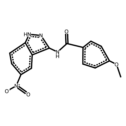 COc1ccc(C(=O)Nc2n[nH]c3ccc([N+](=O)[O-])cc23)cc1